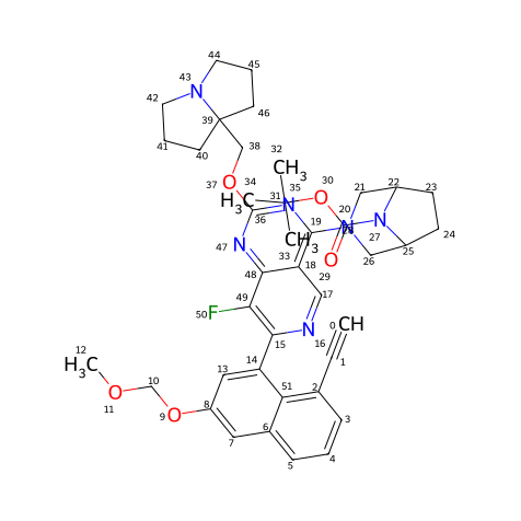 C#Cc1cccc2cc(OCOC)cc(-c3ncc4c(N5CC6CCC(C5)N6C(=O)OC(C)(C)C)nc(OCC56CCCN5CCC6)nc4c3F)c12